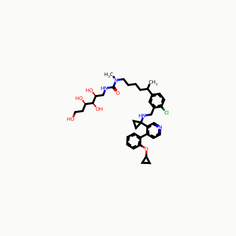 CC(CCCCN(C)C(=O)NC[C@H](O)[C@@H](O)[C@H](O)CCO)c1ccc(Cl)c(CNC2(c3cnccc3-c3ccccc3OC3CC3)CC2)c1